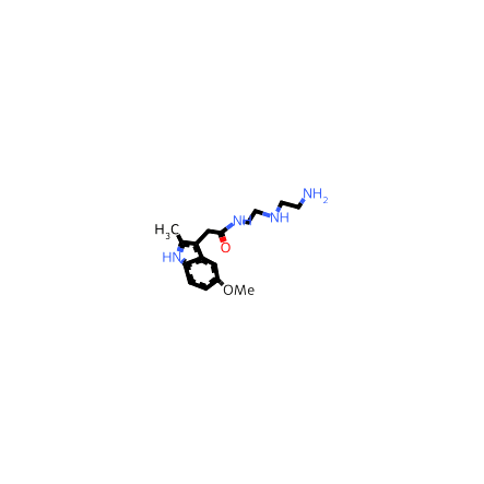 COc1ccc2[nH]c(C)c(CC(=O)NCCNCCN)c2c1